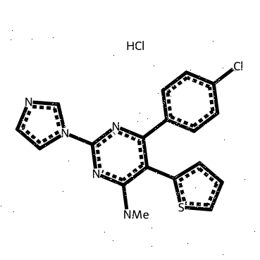 CNc1nc(-n2ccnc2)nc(-c2ccc(Cl)cc2)c1-c1cccs1.Cl